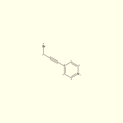 BrCC#Cc1ccncc1